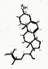 CC(C)=C(C)CCC(C)C1CCC2C3=CC=C4CC(O)CCC4(C)C3CCC21C